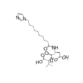 CC(C)[C@H](NC(=O)[C@H](CC(=O)O)NC(=O)CCCCCCCCCn1ccnc1)C(=O)O